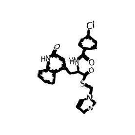 O=C(NC(Cc1cc(=O)[nH]c2ccccc12)C(=O)SCN1C=CC=NC1)c1ccc(Cl)cc1